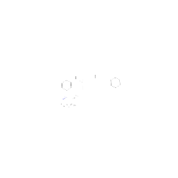 CN/C(C)=C(\C(C)=N)c1cccc(C(=O)NCCC(=O)OCc2ccccc2)c1F